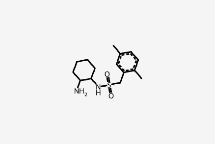 Cc1ccc(C)c(CS(=O)(=O)NC2CCCCC2N)c1